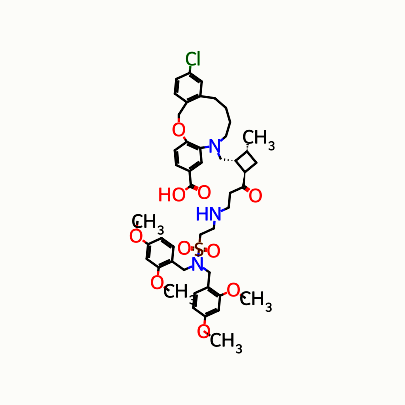 COc1ccc(CN(Cc2ccc(OC)cc2OC)S(=O)(=O)CCNCCC(=O)[C@@H]2C[C@@H](C)[C@H]2CN2CCCCc3cc(Cl)ccc3COc3ccc(C(=O)O)cc32)c(OC)c1